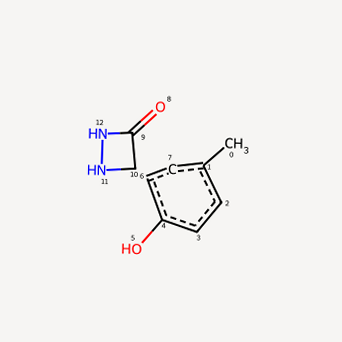 Cc1ccc(O)cc1.O=C1CNN1